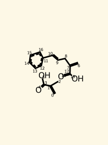 C=C(C)C(=O)O.C=C(CC=Cc1ccccc1)C(=O)O